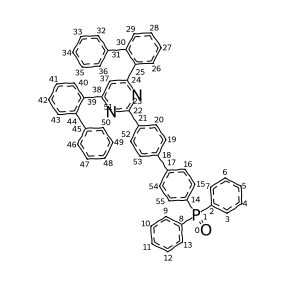 O=P(c1ccccc1)(c1ccccc1)c1ccc(-c2ccc(-c3nc(-c4ccccc4-c4ccccc4)cc(-c4ccccc4-c4ccccc4)n3)cc2)cc1